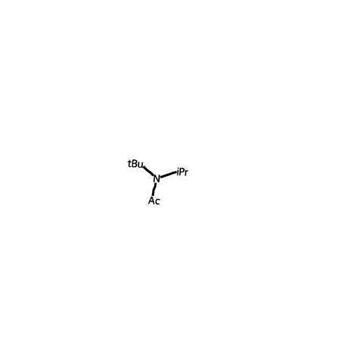 CC(=O)N(C(C)C)C(C)(C)C